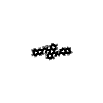 CC(C)(Cc1ccc2ccccc2c1)c1c2ccccc2c(C(C)(C)Cc2ccc3ccccc3c2)c2ccccc12